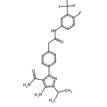 CC(C)n1nc(-c2ccc(CC(=O)Nc3ccc(F)c(C(F)(F)F)c3)cc2)c(C(N)=O)c1N